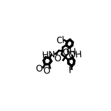 CC(C)(CC(O)(CC(=O)Nc1ccc2c(c1)COC2=O)Cc1c(F)cccc1Cl)c1cc(F)ccc1O